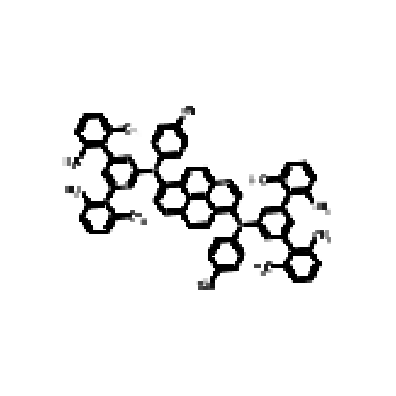 Cc1cccc(C)c1-c1cc(-c2c(C)cccc2C)cc(N(c2ccc(C(C)(C)C)cc2)c2ccc3ccc4c(N(c5ccc(C(C)(C)C)cc5)c5cc(-c6c(C)cccc6C)cc(-c6c(C)cccc6C)c5)ccc5ccc2c3c54)c1